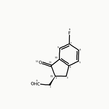 O=CC[C@@H]1Cc2ccc(F)cc2C1=O